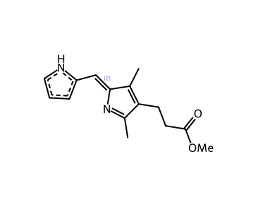 COC(=O)CCC1=C(C)/C(=C/c2ccc[nH]2)N=C1C